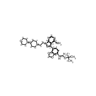 CC(C)(C)OCNc1ccc(-c2nn(CCN3CCC(N4CCOCC4)CC3)c3ncnc(N)c23)c2c1OCO2